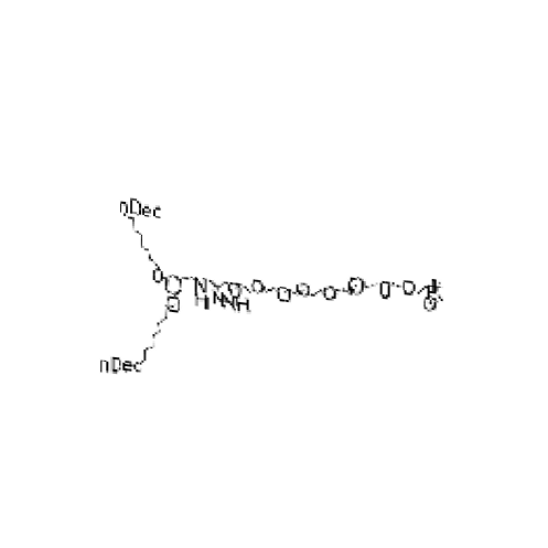 CCCCCCCCCCCCCCCCCCOc1cc(CN/C=C(/COCCOCCOCCOCCOCCOCCOCCOCCP(C)(=O)F)N=N)cc(OCCCCCCCCCCCCCCCCCC)c1